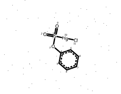 O=[S](=O)(Oc1ccccc1)[Hg][Cl]